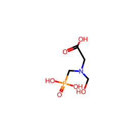 O=C(O)CN(CO)CP(=O)(O)O